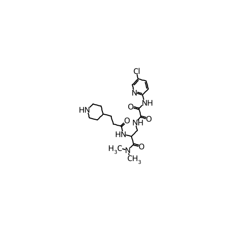 CN(C)C(=O)C(CNC(=O)C(=O)Nc1ccc(Cl)cn1)NC(=O)CCC1CCNCC1